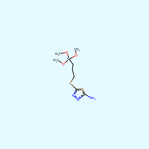 CO[Si](CCCSc1nnc(N)s1)(OC)OC